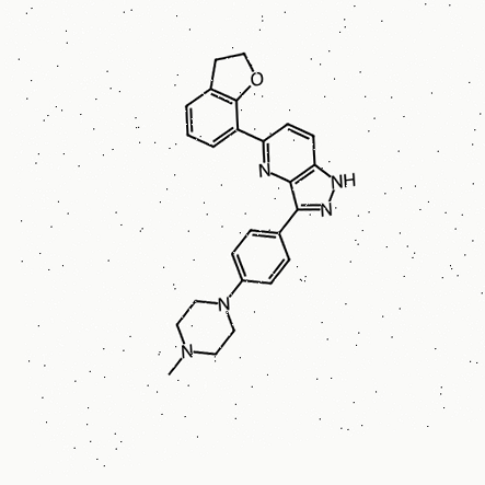 CN1CCN(c2ccc(-c3n[nH]c4ccc(-c5cccc6c5OCC6)nc34)cc2)CC1